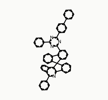 c1ccc(-c2ccc(-c3nc(-c4ccccc4)nc(-c4cccc5c4-c4ccccc4C54c5ccccc5-c5nc(-c6ccccc6)c6ccccc6c54)n3)cc2)cc1